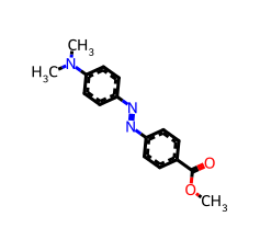 COC(=O)c1ccc(N=Nc2ccc(N(C)C)cc2)cc1